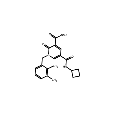 CNC(=O)c1cc(C(=O)NC2CCC2)cn(Cc2cccc(C)c2C)c1=O